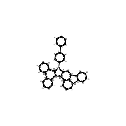 c1ccc(-c2ccc(-n3c4cc5c6c(cccc6c4c4c6ccccc6c6ccccc6c43)-c3ccccc3-5)cc2)cc1